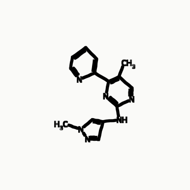 Cc1cnc(Nc2cnn(C)c2)nc1-c1ccccn1